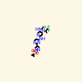 CC1Nc2cnc(Nc3ccnc(-c4cnn(S(=O)(=O)C5CC5)c4)n3)cc2N1C(C)C(F)(F)F